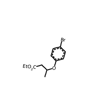 CCOC(=O)CC(C)Oc1ccc(Br)cc1